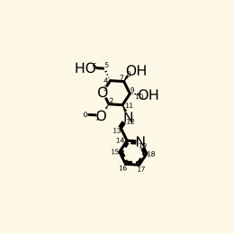 CO[C@@H]1O[C@H](CO)[C@@H](O)[C@H](O)[C@H]1N=Cc1ccccn1